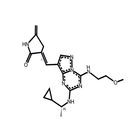 C=C1C/C(=C\c2cnn3c(NCCOC)nc(N[C@H](C)C4CC4)nc23)C(=O)N1